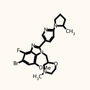 COc1cc(Br)c(F)c2nc(-c3ccc(N4CCCC4C)nc3)n(CC3CN(C)CCO3)c12